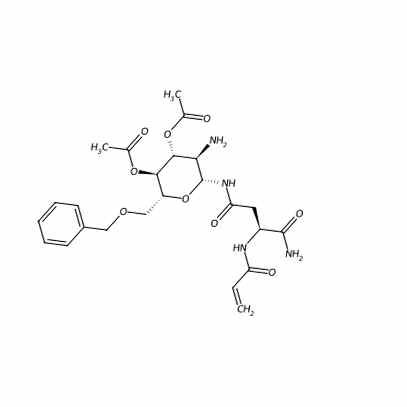 C=CC(=O)N[C@@H](CC(=O)N[C@@H]1O[C@H](COCc2ccccc2)[C@@H](OC(C)=O)[C@H](OC(C)=O)[C@H]1N)C(N)=O